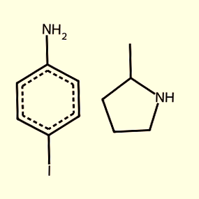 CC1CCCN1.Nc1ccc(I)cc1